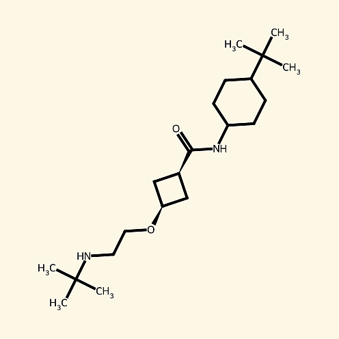 CC(C)(C)NCCO[C@H]1C[C@@H](C(=O)NC2CCC(C(C)(C)C)CC2)C1